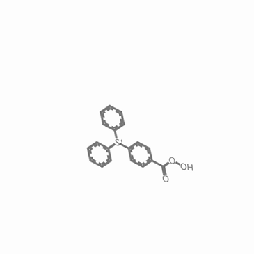 O=C(OO)c1ccc([S+](c2ccccc2)c2ccccc2)cc1